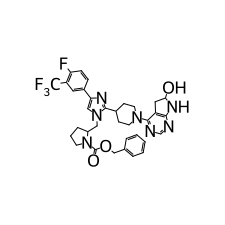 O=C(OCc1ccccc1)N1CCCC1Cn1cc(-c2ccc(F)c(C(F)(F)F)c2)nc1C1CCN(c2ncnc3c2CC(O)N3)CC1